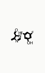 C=C1N=CNC1C=O.Oc1cc(F)cc(F)c1